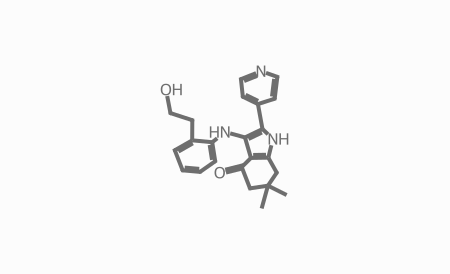 CC1(C)CC(=O)c2c([nH]c(-c3ccncc3)c2Nc2ccccc2CCO)C1